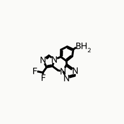 Bc1ccc2c(c1)-c1ncnn1Cc1c(C(F)F)ncn1-2